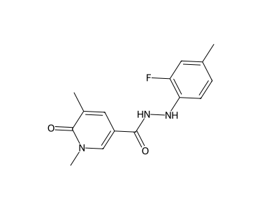 Cc1ccc(NNC(=O)c2cc(C)c(=O)n(C)c2)c(F)c1